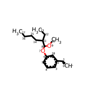 [CH]=Cc1cc[c]c(OC(OC)C(CC)CCCC)c1